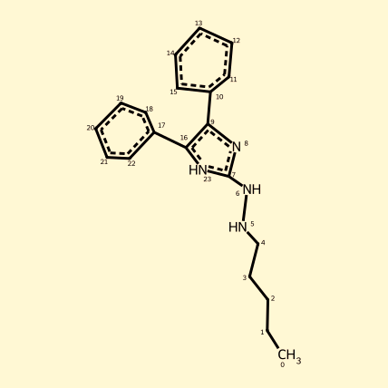 CCCCCNNc1nc(-c2ccccc2)c(-c2ccccc2)[nH]1